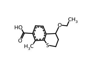 CCOC1CCSc2c1ccc(C(=O)O)c2C